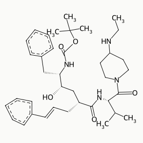 CCNC1CCN(C(=O)[C@@H](NC(=O)[C@H](CC=Cc2ccccc2)C[C@H](O)[C@H](Cc2ccccc2)NC(=O)OC(C)(C)C)C(C)C)CC1